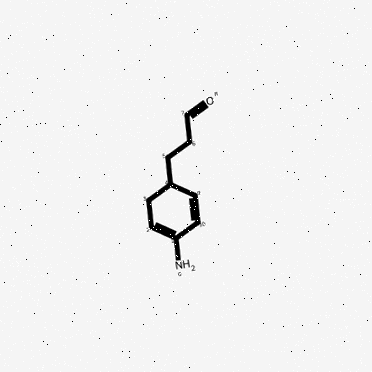 NC1=CCC(CCC=O)C=C1